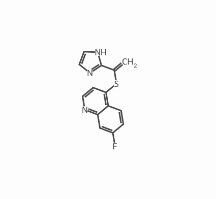 C=C(Sc1ccnc2cc(F)ccc12)c1ncc[nH]1